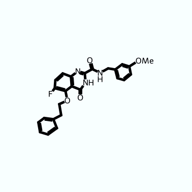 COc1cccc(CNC(=O)c2nc3ccc(F)c(OCCc4ccccc4)c3c(=O)[nH]2)c1